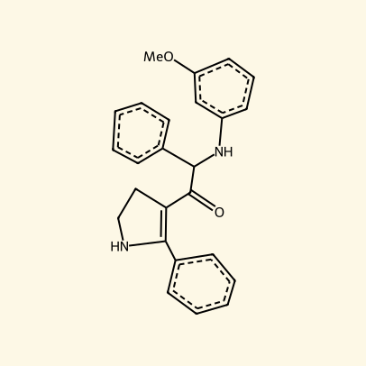 COc1cccc(NC(C(=O)C2=C(c3ccccc3)NCC2)c2ccccc2)c1